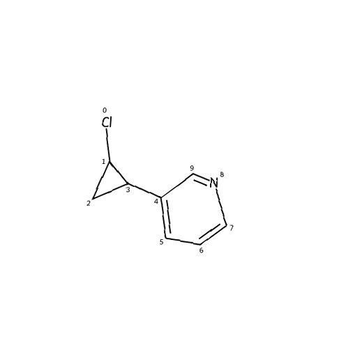 ClC1CC1c1cccnc1